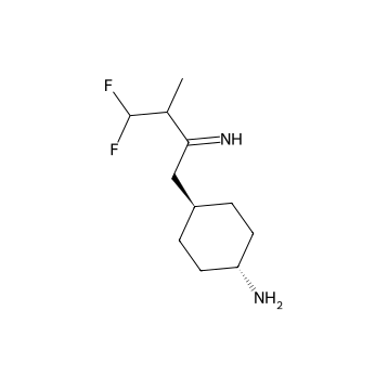 CC(C(=N)C[C@H]1CC[C@H](N)CC1)C(F)F